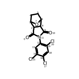 O=C1C2C3CCC(O3)C2C(=O)N1c1cc(Cl)c(Cl)cc1Cl